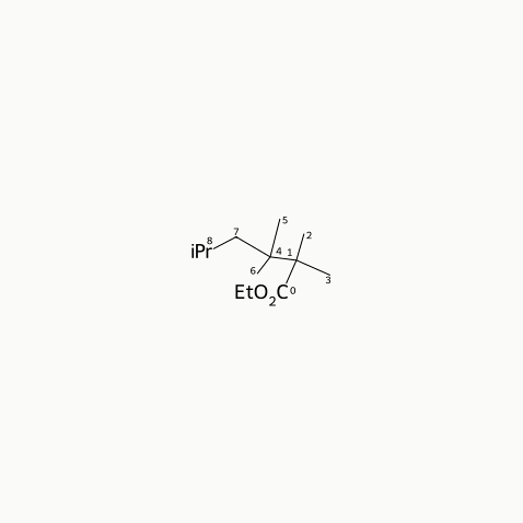 CCOC(=O)C(C)(C)C(C)(C)CC(C)C